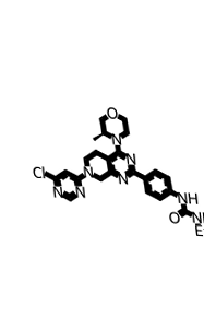 CCNC(=O)Nc1ccc(-c2nc3c(c(N4CCOC[C@@H]4C)n2)CCN(c2cc(Cl)ncn2)C3)cc1